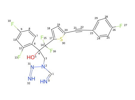 N=CN(CC(O)(c1ccc(F)cc1F)C(F)(F)c1ccc(C#Cc2ccc(F)cc2)s1)N=N